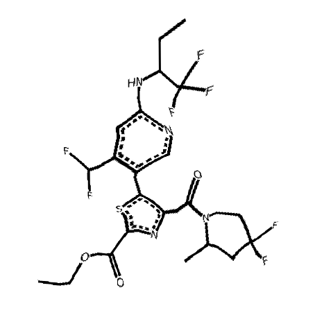 CCOC(=O)c1nc(C(=O)N2CC(F)(F)CC2C)c(-c2cnc(NC(CC)C(F)(F)F)cc2C(F)F)s1